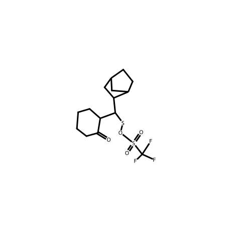 O=C1CCCCC1C(SOS(=O)(=O)C(F)(F)F)C1CC2CCC1C2